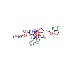 CCCCCOC(=O)N1CC2CC(c3ccc(CCCOc4c(F)ccc(F)c4F)cc3)=C(C(=O)N(CC)Cc3ccccc3Cl)C(C1)N2C(=O)OC(C)(C)C(Cl)(Cl)Cl